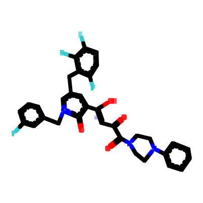 O=C(/C=C(\O)c1cc(Cc2c(F)ccc(F)c2F)cn(Cc2cccc(F)c2)c1=O)C(=O)N1CCN(c2ccccc2)CC1